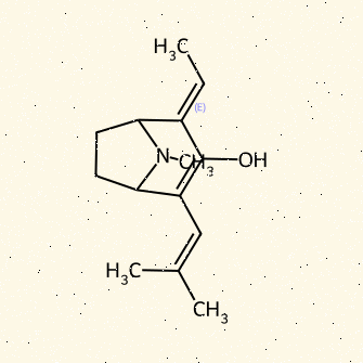 C/C=C1/C(O)=C(C=C(C)C)C2CCC1N2C